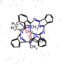 CC[Si](CC)(CC)O[Si]1(O[Si](CC)(CC)CC)n2c3c4ccccc4c2/N=C2N=C(/N=c4/c5ccccc5/c(n41)=N/C1=NC(=N\3)/c3ccccc31)c1ccccc1\2